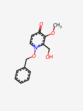 COc1c(CO)n(OCc2ccccc2)ccc1=O